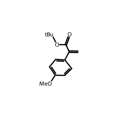 C=C(C(=O)OC(C)(C)C)c1ccc(OC)cc1